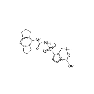 CC1(C)Cc2c(S(=O)(=O)NC(=O)Nc3c4c(cc5c3CCC5)CCC4)ccn2C(O)O1